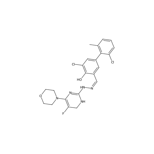 Cc1cccc(Cl)c1-c1cc(Cl)c(O)c(/C=N\NC2=NC(N3CCOCC3)=C(F)CN2)c1